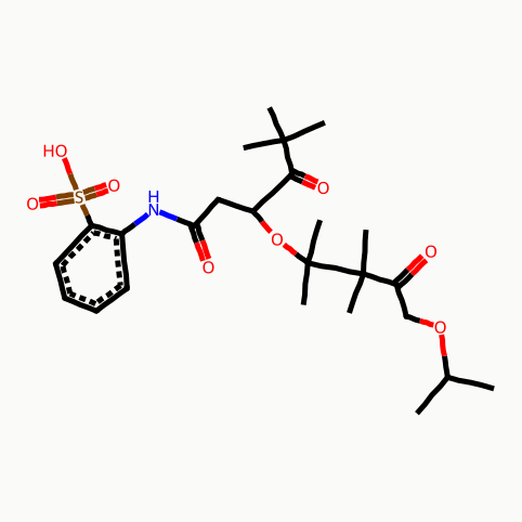 CC(C)OCC(=O)C(C)(C)C(C)(C)OC(CC(=O)Nc1ccccc1S(=O)(=O)O)C(=O)C(C)(C)C